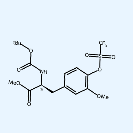 COC(=O)[C@H](Cc1ccc(OS(=O)(=O)C(F)(F)F)c(OC)c1)NC(=O)OC(C)(C)C